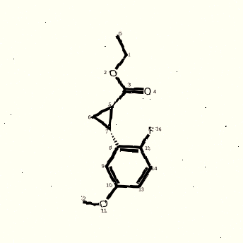 CCOC(=O)[C@@H]1C[C@H]1c1cc(OC)ccc1F